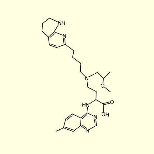 COC(C)CN(CCCCc1ccc2c(n1)NCCC2)CCC(Nc1ncnc2cc(C)ccc12)C(=O)O